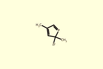 CC1=C[C](C)([Zr])P=C1